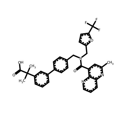 Cc1cc(C(=O)N(Cc2ccc(-c3cccc(C(C)(C)C(=O)O)c3)cc2)Cc2ccc(C(F)(F)F)o2)c2ncccc2n1